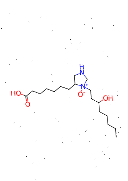 CCCCCC(O)CC[N+]1([O-])CNCC1CCCCCCC(=O)O